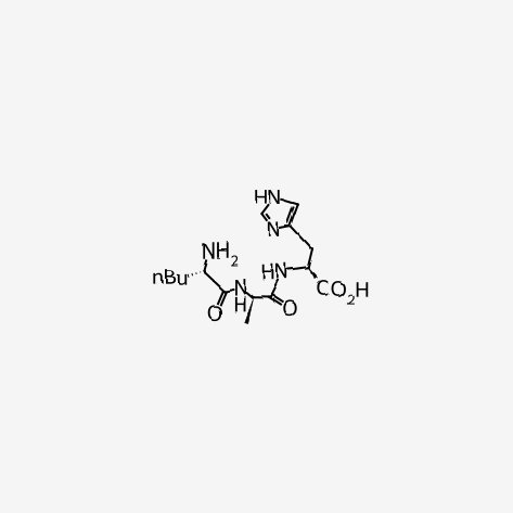 CCCC[C@H](N)C(=O)N[C@H](C)C(=O)N[C@@H](Cc1c[nH]cn1)C(=O)O